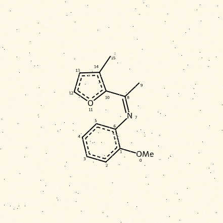 COc1ccccc1N=C(C)c1occc1C